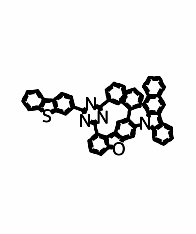 c1ccc(-c2nc(-c3ccc4c(c3)sc3ccccc34)nc(-c3cccc4oc5cc(-n6c7ccccc7c7cc8ccccc8cc76)c(-c6ccccc6)cc5c34)n2)cc1